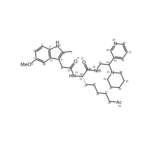 COc1ccc2[nH]c(C)c(CC(=O)N[C@@H](CCCCCC(C)=O)C(=O)NCC(c3cccnc3)N3CCCCC3)c2c1